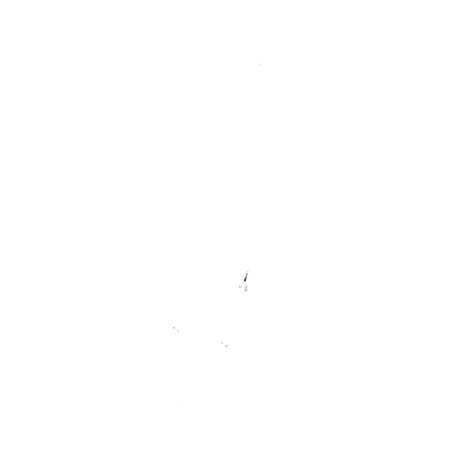 CC(C)([C@H]1C[C@H](NC(=O)c2ncc(C(F)(F)F)cn2)C1)S(=O)(=O)c1cccc(C(F)(F)F)c1